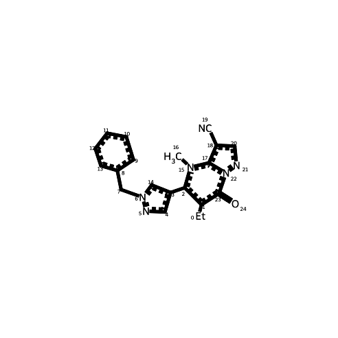 CCc1c(-c2cnn(Cc3ccccc3)c2)n(C)c2c(C#N)cnn2c1=O